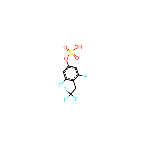 O=S(=O)(O)Oc1cc(F)c(CC(F)(F)F)c(F)c1